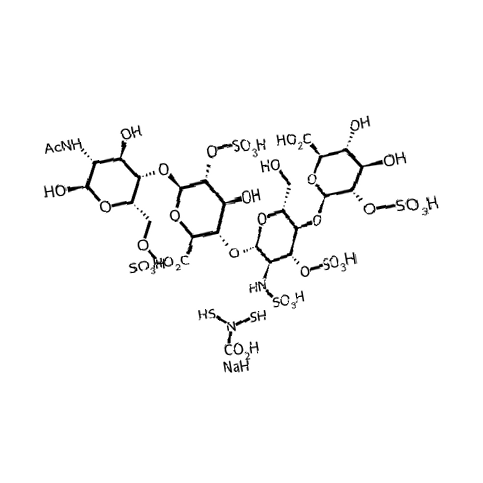 CC(=O)N[C@@H]1[C@@H](O)[C@H](O[C@@H]2O[C@H](C(=O)O)[C@@H](O[C@@H]3O[C@H](CO)[C@@H](O[C@H]4O[C@@H](C(=O)O)[C@H](O)[C@@H](O)[C@@H]4OS(=O)(=O)O)[C@H](OS(=O)(=O)O)[C@H]3NS(=O)(=O)O)[C@H](O)[C@H]2OS(=O)(=O)O)[C@H](COS(=O)(=O)O)O[C@H]1O.O=C(O)N(S)S.[NaH]